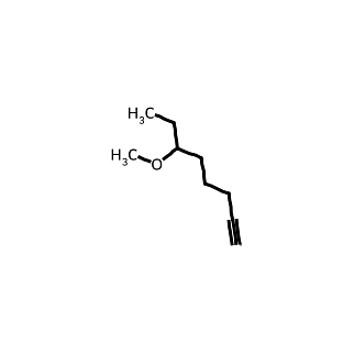 [C]#CCCCC(CC)OC